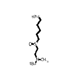 CN(CC[S+]([O-])CCCCCC(C)(C)C)C(C)(C)C